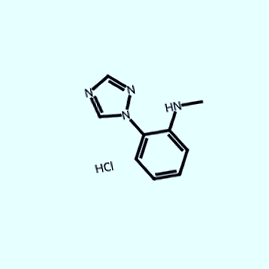 CNc1ccccc1-n1cncn1.Cl